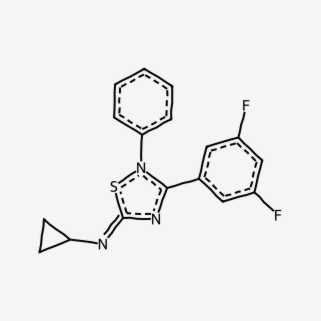 Fc1cc(F)cc(-c2nc(=NC3CC3)sn2-c2ccccc2)c1